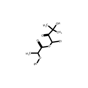 CCC(OC(=O)C(C)OC(C)C)C(=O)C(C)(C)O